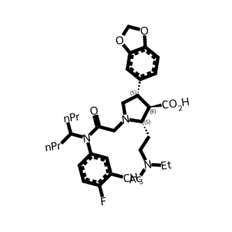 CCCC(CCC)N(C(=O)CN1C[C@H](c2ccc3c(c2)OCO3)[C@@H](C(=O)O)[C@@H]1CCN(CC)C(C)=O)c1ccc(F)c(C)c1